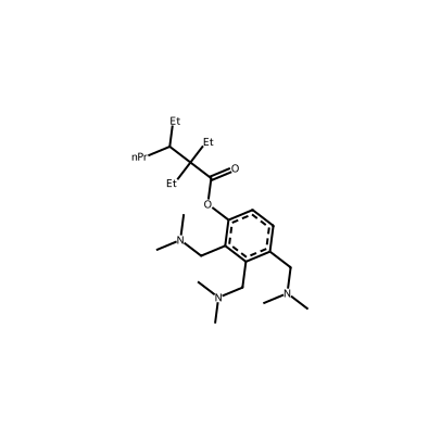 CCCC(CC)C(CC)(CC)C(=O)Oc1ccc(CN(C)C)c(CN(C)C)c1CN(C)C